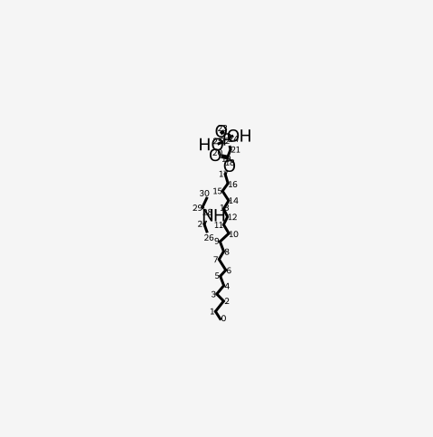 CCCCCCCCCCCCCCCCCCOC(=O)CP(=O)(O)O.CCNCC